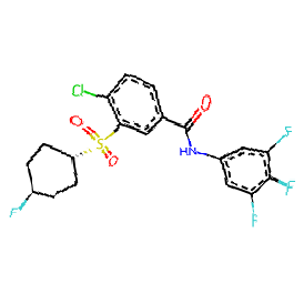 O=C(Nc1cc(F)c(F)c(F)c1)c1ccc(Cl)c(S(=O)(=O)[C@H]2CC[C@H](F)CC2)c1